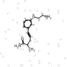 CC(CC#Cc1cccc(OCCN)c1)C(N)=O